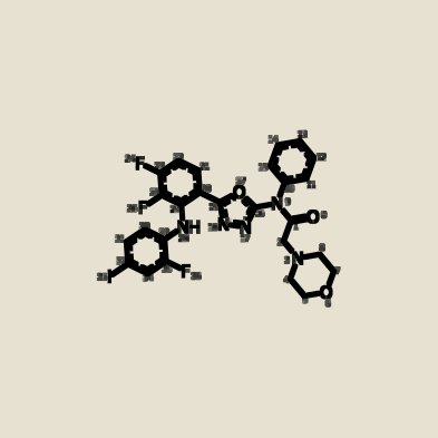 O=C(CN1CCOCC1)N(c1ccccc1)c1nnc(-c2ccc(F)c(F)c2Nc2ccc(I)cc2F)o1